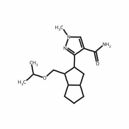 CC(C)OCC1C(c2nn(C)cc2C(N)=O)CC2CCCC21